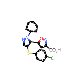 O=C(O)c1cc(-c2c(Sc3ccc(Cl)cc3)cnn2-c2ccccc2)on1